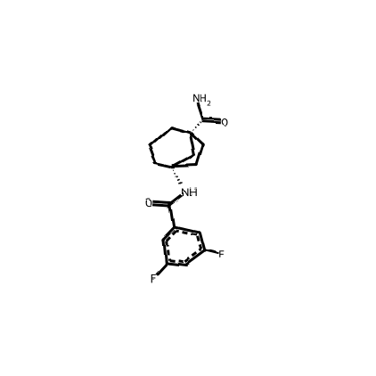 NC(=O)[C@]12CCC[C@](NC(=O)c3cc(F)cc(F)c3)(CC1)C2